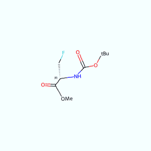 COC(=O)[C@H](CF)NC(=O)OC(C)(C)C